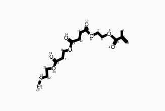 C=C(C)C(=O)OCCOC(=O)CCC(=O)OCCC(=O)OCCSCC